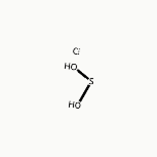 OSO.[C]